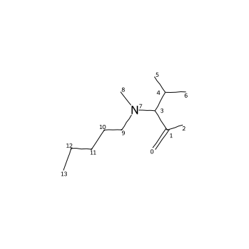 C=C(C)C(C(C)C)N(C)CCCCC